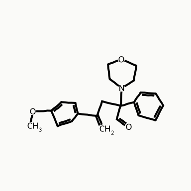 C=C(CC(C=O)(c1ccccc1)N1CCOCC1)c1ccc(OC)cc1